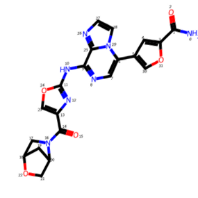 NC(=O)c1cc(-c2cnc(Nc3nc(C(=O)N4CC5CC4CO5)co3)c3nccn23)co1